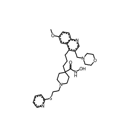 COc1ccc2ncc(CN3CCOCC3)c(CCCC3(C(=O)NO)CCN(CCSc4ccccn4)CC3)c2c1